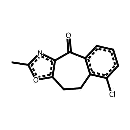 Cc1nc2c(o1)CCc1c(Cl)cccc1C2=O